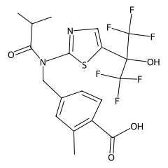 Cc1cc(CN(C(=O)C(C)C)c2ncc(C(O)(C(F)(F)F)C(F)(F)F)s2)ccc1C(=O)O